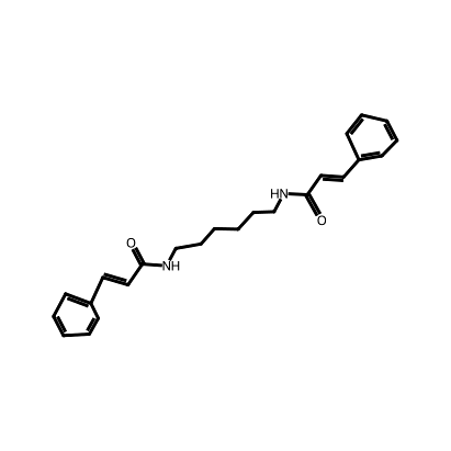 O=C(C=Cc1ccccc1)NCCCCCCNC(=O)C=Cc1ccccc1